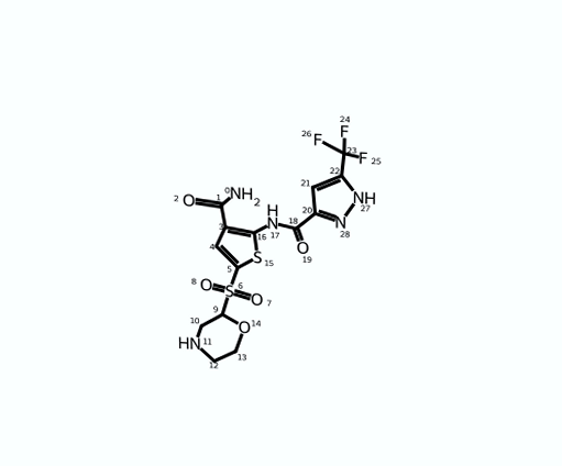 NC(=O)c1cc(S(=O)(=O)C2CNCCO2)sc1NC(=O)c1cc(C(F)(F)F)[nH]n1